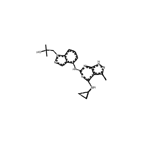 Cc1n[nH]c2nc(Nc3cccc4c3cnn4CC(C)(C)O)nc(NC3CC3)c12